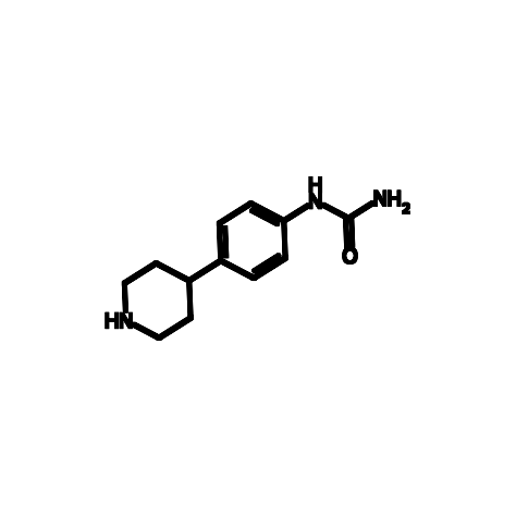 NC(=O)Nc1ccc(C2CCNCC2)cc1